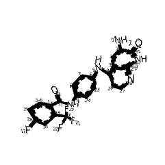 Nc1cc2c(Nc3ccc(NC(=O)c4ccc(F)cc4C(F)(F)F)cc3)ccnc2[nH]c1=O